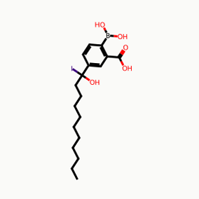 CCCCCCCCCCC(O)(I)c1ccc(B(O)O)c(C(=O)O)c1